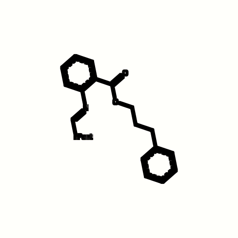 CCCCC/C=N/c1ccccc1C(=O)OCCCc1ccccc1